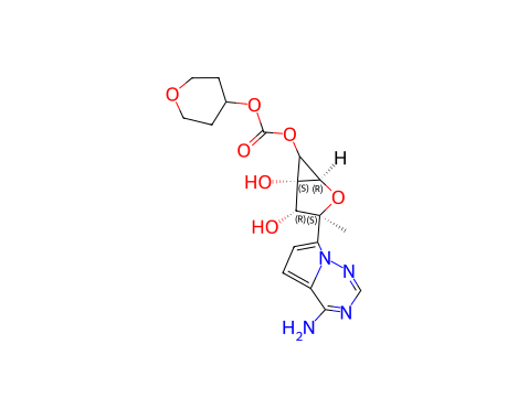 C[C@@]1(c2ccc3c(N)ncnn23)O[C@@H]2C(OC(=O)OC3CCOCC3)[C@]2(O)[C@H]1O